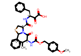 COc1ccc(COC(=O)N[C@H](C(=O)N2C(c3ccccc3)SC[C@H]2C(=O)N[C@@H](Cc2ccccc2)C(=O)C(=O)O)C(C)C)cc1